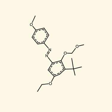 CCOc1cc(N=Nc2ccc(OC)cc2)c(OCOC)c(C(C)(C)C)c1